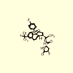 CC(NC(=O)[C@@H]1C[C@@H](F)C(=O)N1)[C@@H]1CC[C@@]2(S(=O)(=O)c3ccc(F)cc3)c3ccc(C(F)(C(F)(F)F)C(F)(F)F)cc3CC[C@@H]12